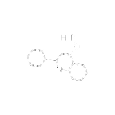 POc1cc(-c2ccccc2)nc2ccccc12